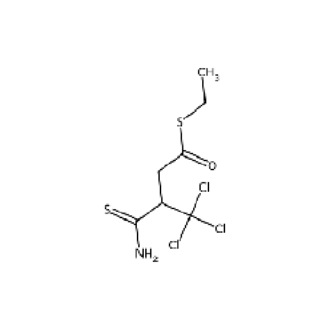 CCSC(=O)CC(C(N)=S)C(Cl)(Cl)Cl